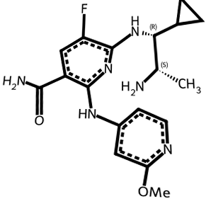 COc1cc(Nc2nc(N[C@H](C3CC3)[C@H](C)N)c(F)cc2C(N)=O)ccn1